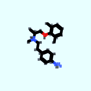 Cc1cccc(C)c1OCC(C)N(C)CCc1ccc(N)cc1